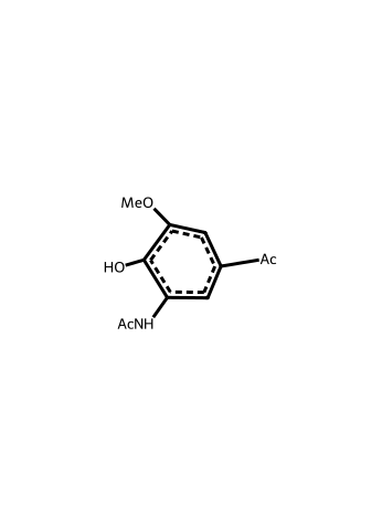 COc1cc(C(C)=O)cc(NC(C)=O)c1O